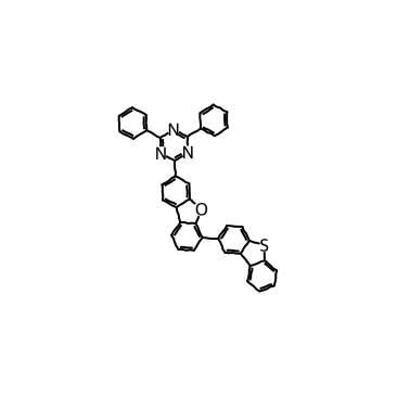 c1ccc(-c2nc(-c3ccccc3)nc(-c3ccc4c(c3)oc3c(-c5ccc6sc7ccccc7c6c5)cccc34)n2)cc1